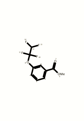 COC(=O)c1cccc(OC(F)(F)C(F)F)c1